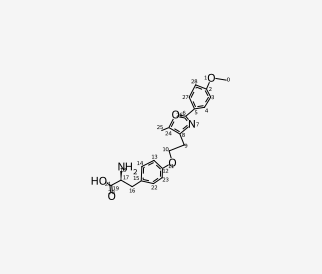 COc1ccc(-c2nc(CCOc3ccc(C[C@H](N)C(=O)O)cc3)c(C)o2)cc1